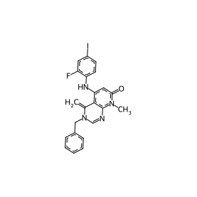 C=C1c2c(Nc3ccc(I)cc3F)cc(=O)n(C)c2N=CN1Cc1ccccc1